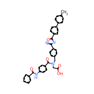 Cc1ccc(-c2ccc(-c3nc(-c4ccc(CN(CC(=O)O)C(=O)c5ccc(NC(=O)c6ccccc6)cc5)cc4)no3)cc2)cc1